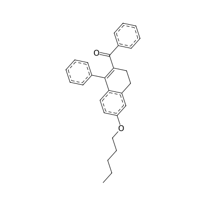 CCCCCOc1ccc2c(c1)CCC(C(=O)c1ccccc1)=C2c1ccccc1